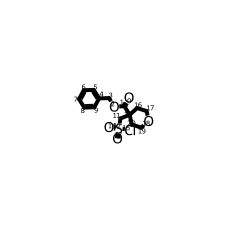 O=C(OCc1ccccc1)C1(CS(=O)(=O)Cl)CCOCC1